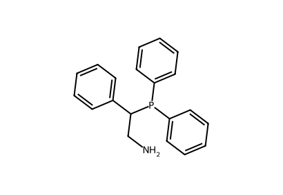 NCC(c1ccccc1)P(c1ccccc1)c1ccccc1